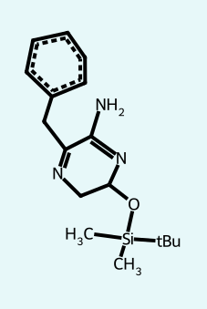 CC(C)(C)[Si](C)(C)OC1CN=C(Cc2ccccc2)C(N)=N1